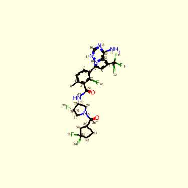 Cc1ccc(-c2cc(C(F)(F)F)c3c(N)ncnn23)c(F)c1C(=O)N[C@@H]1CN(C(=O)C2CCC(F)(F)C2)C[C@@H]1F